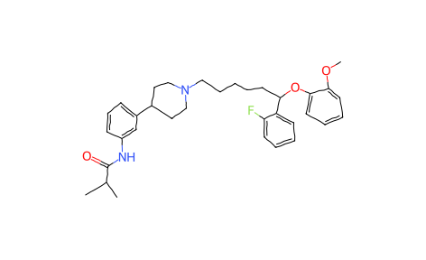 COc1ccccc1OC(CCCCCN1CCC(c2cccc(NC(=O)C(C)C)c2)CC1)c1ccccc1F